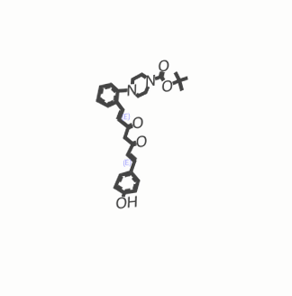 CC(C)(C)OC(=O)N1CCN(c2ccccc2/C=C/C(=O)CC(=O)/C=C/c2ccc(O)cc2)CC1